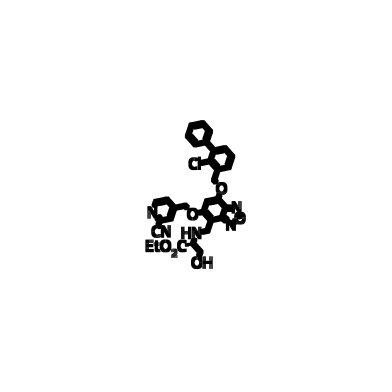 CCOC(=O)[C@@H](CO)NCc1c(OCc2ccnc(C#N)c2)cc(OCc2cccc(-c3ccccc3)c2Cl)c2nonc12